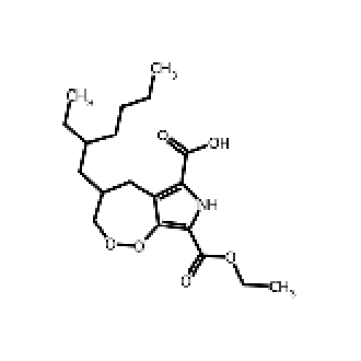 CCCCC(CC)CC1COOc2c(C(=O)OCC)[nH]c(C(=O)O)c2C1